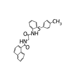 Cc1ccc(Sc2ccccc2NC(=O)CNC(=O)c2cccc3ccccc23)cc1